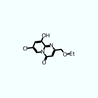 CCOCc1cc(=O)n2cc(Cl)cc(O)c2n1